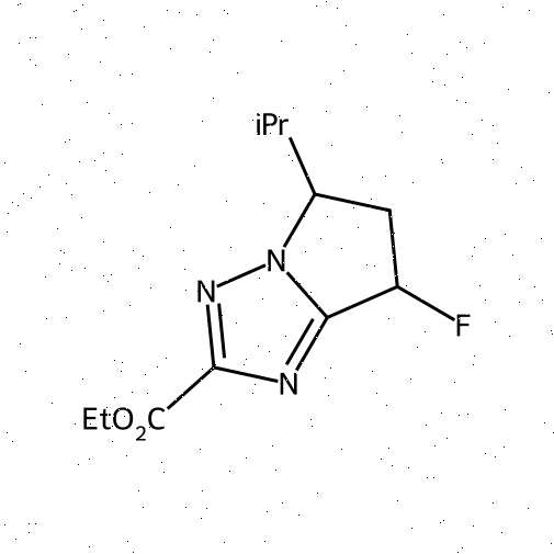 CCOC(=O)c1nc2n(n1)C(C(C)C)CC2F